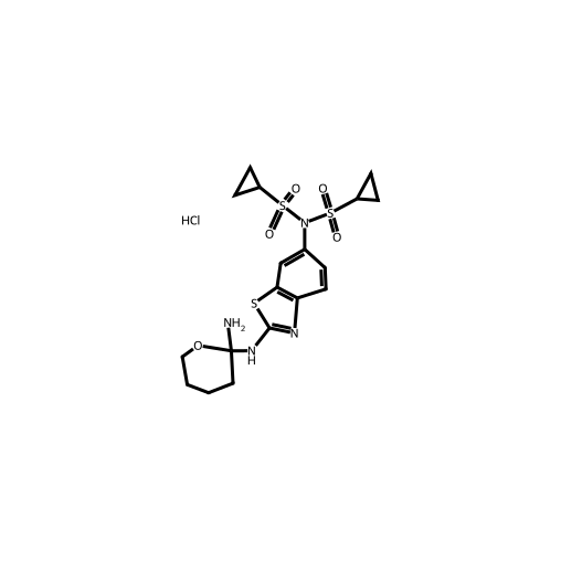 Cl.NC1(Nc2nc3ccc(N(S(=O)(=O)C4CC4)S(=O)(=O)C4CC4)cc3s2)CCCCO1